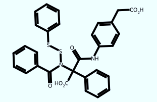 O=C(O)Cc1ccc(NC(=O)C(C(=O)O)(c2ccccc2)N(SSc2ccccc2)C(=O)c2ccccc2)cc1